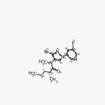 CSC[C@@H](C)C(=O)N(C)c1cn(-c2cncc(F)c2)nc1Br